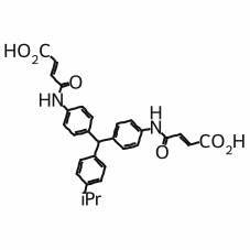 CC(C)c1ccc(C(c2ccc(NC(=O)/C=C/C(=O)O)cc2)c2ccc(NC(=O)/C=C/C(=O)O)cc2)cc1